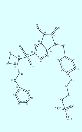 CS(=O)(=O)OCCOc1ccc(CN2C(=O)C(=O)c3cc(S(=O)(=O)N4CC[C@H]4COc4ccccc4)ccc32)cc1